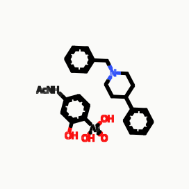 CC(=O)Nc1ccc([As](=O)(O)O)c(O)c1.c1ccc(CN2CCC(c3ccccc3)CC2)cc1